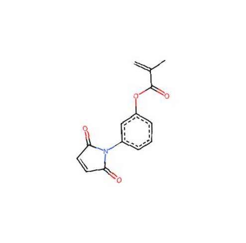 C=C(C)C(=O)Oc1cccc(N2C(=O)C=CC2=O)c1